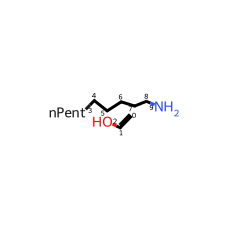 C=CO.CCCCCCCCCCN